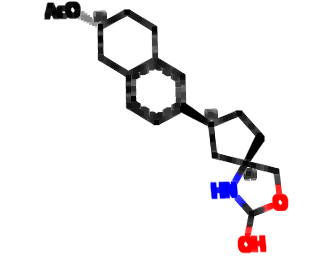 CC(=O)O[C@@H]1CCc2cc([C@H]3CC[C@]4(COC(O)N4)C3)ccc2C1